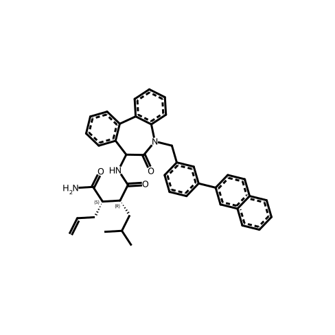 C=CC[C@H](C(N)=O)[C@@H](CC(C)C)C(=O)NC1C(=O)N(Cc2cccc(-c3ccc4ccccc4c3)c2)c2ccccc2-c2ccccc21